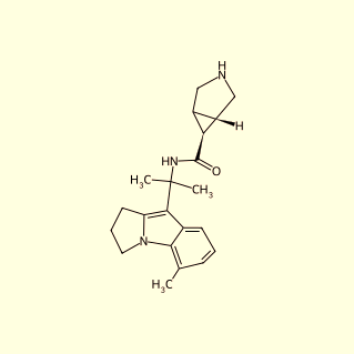 Cc1cccc2c(C(C)(C)NC(=O)[C@H]3C4CNC[C@@H]43)c3n(c12)CCC3